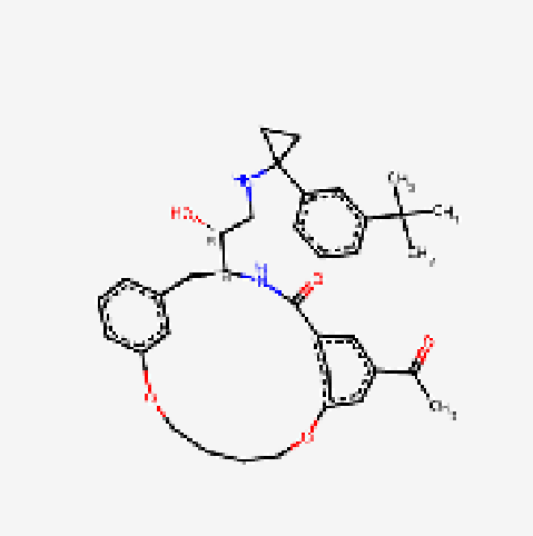 CC(=O)c1cc2cc(c1)C(=O)N[C@H]([C@H](O)CNC1(c3cccc(C(C)(C)C)c3)CC1)Cc1cccc(c1)OCCCCO2